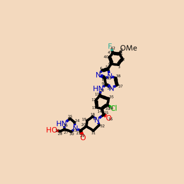 COc1ccc(-c2cnc3c(Nc4ccc(C(=O)N5CCC(C(=O)N6CCNC(CO)C6)CC5)c(Cl)c4)nccn23)cc1F